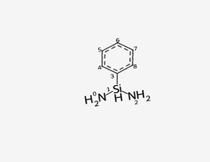 N[SiH](N)c1ccccc1